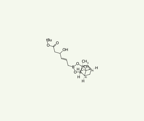 CC(C)(C)OC(=O)CC(O)C=CCB1O[C@@H]2[C@@H]3C[C@H](C[C@]2(C)O1)C3(C)C